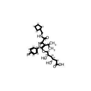 CC(C)c1c(C(=O)NCC2CCCC2)nn(-c2ccc(F)cc2)c1OC[C@@H](O)C[C@@H](O)CC(=O)O